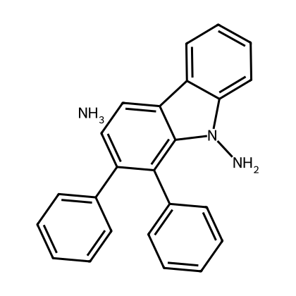 N.Nn1c2ccccc2c2ccc(-c3ccccc3)c(-c3ccccc3)c21